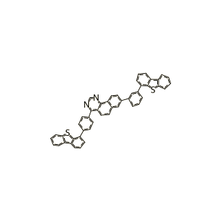 c1cc(-c2ccc3c(ccc4c(-c5ccc(-c6cccc7c6sc6ccccc67)cc5)ncnc43)c2)cc(-c2cccc3c2sc2ccccc23)c1